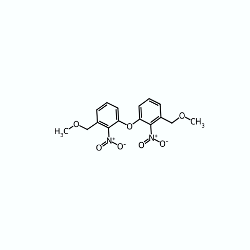 COCc1cccc(Oc2cccc(COC)c2[N+](=O)[O-])c1[N+](=O)[O-]